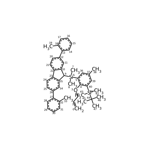 C=CCOc1c([Si](C)(C)C2c3cc(-c4ccccc4C)ccc3-c3ccc(-c4ccccc4C)cc32)cc(C)cc1[Si](C)(C)C(C)(C)C